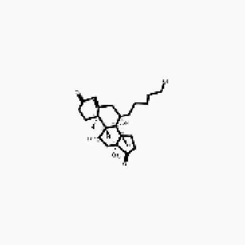 C[C@]12C[C@H](F)[C@H]3[C@@H]([C@H](CCCCCO)CC4=CC(=O)CC[C@@H]43)[C@@H]1CCC2=O